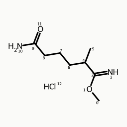 COC(=N)C(C)CCCC(N)=O.Cl